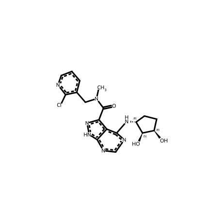 CN(Cc1cccnc1Cl)C(=O)c1n[nH]c2ncnc(N[C@@H]3CC[C@@H](O)[C@H]3O)c12